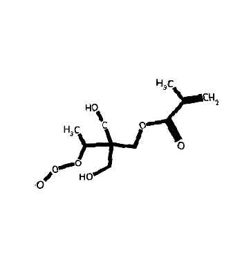 C=C(C)C(=O)OCC(CO)(CO)C(C)OO[O]